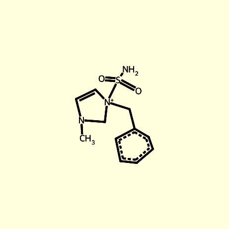 CN1C=C[N+](Cc2ccccc2)(S(N)(=O)=O)C1